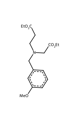 CCOC(=O)CCN(CC(=O)OCC)Cc1cccc(OC)c1